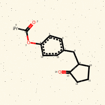 CC(C)C(=O)Oc1ccc(CC2CCCC2=O)cc1